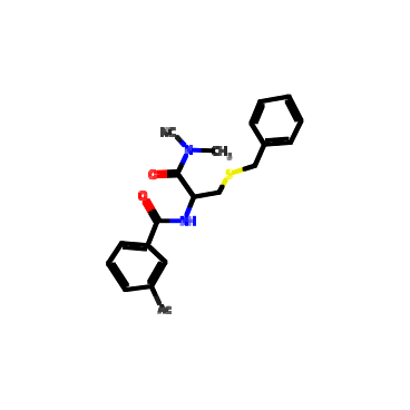 CC(=O)c1cccc(C(=O)NC(CSCc2ccccc2)C(=O)N(C)C#N)c1